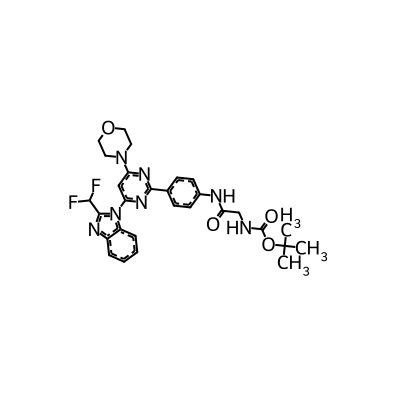 CC(C)(C)OC(=O)NCC(=O)Nc1ccc(-c2nc(N3CCOCC3)cc(-n3c(C(F)F)nc4ccccc43)n2)cc1